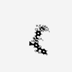 CNC(=O)c1c(-c2ccc(F)cc2)oc2cc(NS(=O)(=O)C(C)Cc3ccc(B4OC(C)(C)C(C)(C)O4)c(C(F)(F)F)c3)c(C3CC3)cc12